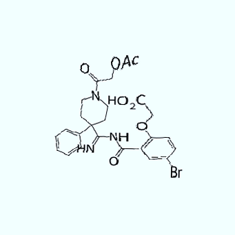 CC(=O)OCC(=O)N1CCC(C(=N)NC(=O)c2cc(Br)ccc2OCC(=O)O)(c2ccccc2)CC1